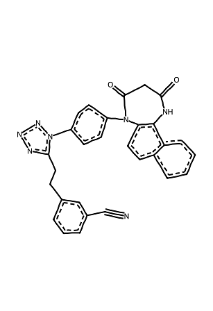 N#Cc1cccc(CCc2nnnn2-c2ccc(N3C(=O)CC(=O)Nc4c3ccc3ccccc43)cc2)c1